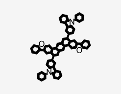 c1ccc(-n2c3ccccc3c3cc(-c4cc5cc6c(cc(-c7ccc8c(c7)c7ccccc7n8-c7ccccc7)c7cc8c(cc76)oc6ccccc68)cc5c5cc6oc7ccccc7c6cc45)ccc32)cc1